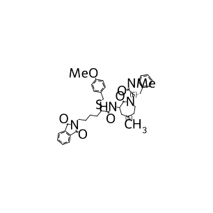 CNC(=O)[C@H](Cc1ccccc1)N1CC[C@H](C)CC(NC(=O)C(CCCCN2C(=O)c3ccccc3C2=O)SCc2ccc(OC)cc2)C1=O